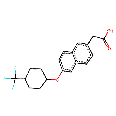 O=C(O)Cc1ccc2cc(OC3CCC(C(F)(F)F)CC3)ccc2c1